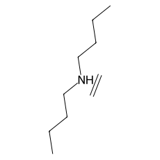 C=C.CCCCNCCCC